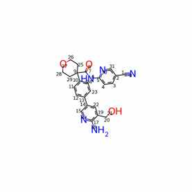 N#Cc1ccc(NC(=O)C2(c3ccc(-c4cnc(N)c(CO)c4)cc3)CCOCC2)nc1